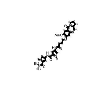 CCN(CC)C(=O)c1cc(NC(=O)c2cc(NC(=O)CCCOc3cc4c(cc3OC)C(=O)N3CCCC3C=N4)cn2C)cn1C